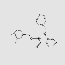 Cc1ccc(CONC(=O)c2ccccc2NCc2ccncc2)cc1F